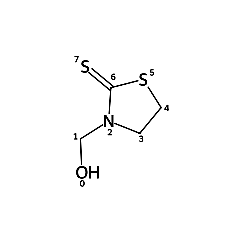 OCN1CCSC1=S